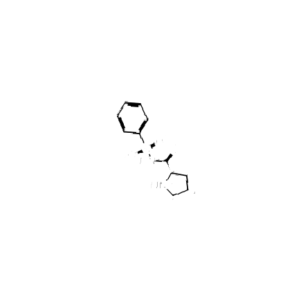 O=C(NS(=O)(=O)c1ccccc1)[C@H]1CCCN1